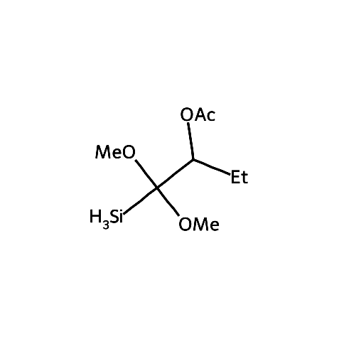 CCC(OC(C)=O)C([SiH3])(OC)OC